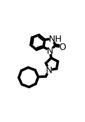 O=c1[nH]c2ccccc2n1C1CCN(CC2CCCCCCC2)C1